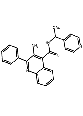 CC(=O)OC(NC(=O)c1c(N)c(-c2ccccc2)nc2ccccc12)c1ccncc1